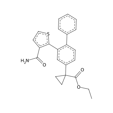 CCOC(=O)C1(c2ccc(-c3ccccc3)c(-c3sccc3C(N)=O)c2)CC1